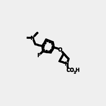 CN(C)Cc1ccc(OC2CN(C(=O)O)C2)cc1F